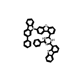 c1ccc(C2=NC(c3cccc4c3sc3ccccc34)NC(c3cccc4oc5cc(-n6c7ccccc7c7ccc(-c8ccccc8)cc76)ccc5c34)N2)cc1